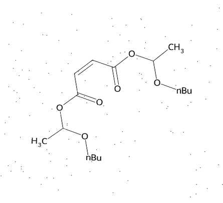 CCCCOC(C)OC(=O)/C=C\C(=O)OC(C)OCCCC